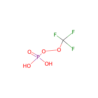 O=P(O)(O)OOC(F)(F)F